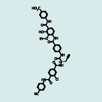 C#CC[C@H](NC(=O)c1ccc(C(=O)Nc2ccc(C#N)cc2)c(Cl)c1)C(=O)Nc1ccc(C(=O)Nc2ccc(C(=O)Nc3ccc(C(=O)O)cc3)c(O)c2OC(C)C)cc1